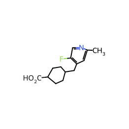 Cc1cc(CC2CCC(C(=O)O)CC2)c(F)cn1